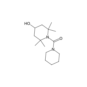 CC1(C)CC(O)CC(C)(C)N1C(=O)N1CCCCC1